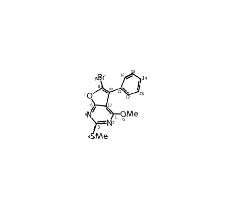 COc1nc(SC)nc2oc(Br)c(-c3ccccc3)c12